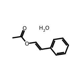 CC(=O)OC=Cc1ccccc1.O